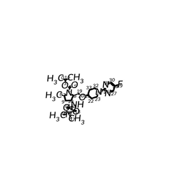 CC(C)OC(=O)N1[C@H](C)C[C@H](NS(=O)(=O)N(C)C)[C@@H]1COC1CCN(c2ncc(F)cn2)CC1